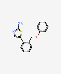 Nc1ncc(-c2ccccc2COc2ccccc2)s1